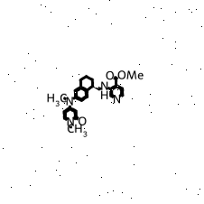 COC(=O)c1ccncc1NC[C@@H]1CCCc2cc(N(C)c3ccn(C)c(=O)c3)ccc21